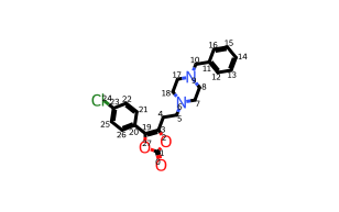 O=c1oc(CCN2CCN(Cc3ccccc3)CC2)c(-c2ccc(Cl)cc2)o1